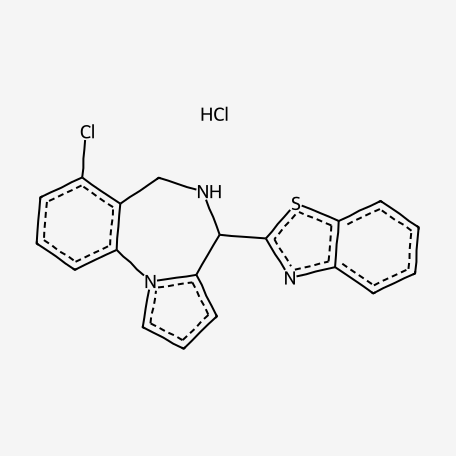 Cl.Clc1cccc2c1CNC(c1nc3ccccc3s1)c1cccn1-2